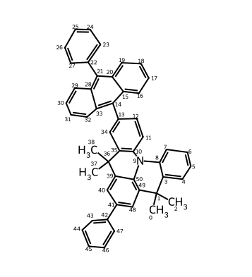 CC1(C)c2ccccc2N2c3ccc(-c4c5ccccc5c(-c5ccccc5)c5ccccc45)cc3C(C)(C)c3cc(-c4ccccc4)cc1c32